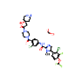 Cn1c(-c2ccc(OC(F)F)c(F)c2Cl)cnc1C(=O)Nc1ccc(C(=O)N2CCN(C(=O)CC3(O)CCNCC3)CC2)c(Cl)c1.O=CO